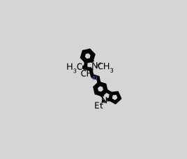 CCN1c2ccc(/C=C/C3=[N+](C)c4ccccc4C3(C)C)cc2C2CCCC21